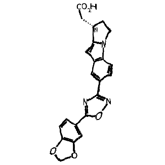 O=C(O)C[C@@H]1CCn2c1cc1cc(-c3noc(-c4ccc5c(c4)OCO5)n3)ccc12